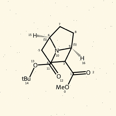 COC(=O)C1CC[C@H]2CC[C@@H]1N2C(=O)OC(C)(C)C